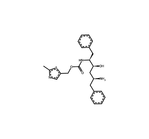 Cc1ncc(COC(=O)N[C@@H](Cc2ccccc2)[C@@H](O)C[C@@H](N)Cc2ccccc2)s1